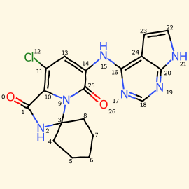 O=C1NC2(CCCCC2)n2c1c(Cl)cc(Nc1ncnc3[nH]ccc13)c2=O